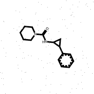 O=C(NC1CC1c1ccccc1)N1CCCCC1